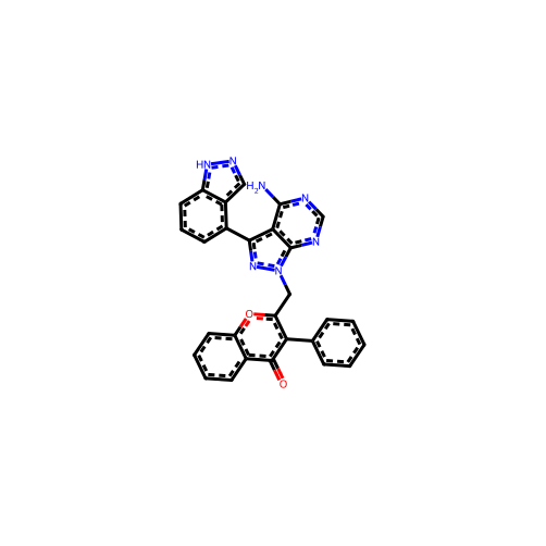 Nc1ncnc2c1c(-c1cccc3[nH]ncc13)nn2Cc1oc2ccccc2c(=O)c1-c1ccccc1